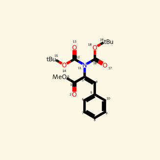 COC(=O)C(=Cc1ccccc1)N(C(=O)OC(C)(C)C)C(=O)OC(C)(C)C